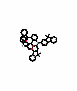 CC1(C)c2ccccc2-c2ccc(N(c3ccc4c(c3)C(C)(C)c3ccccc3-4)c3cccc(-c4cccc5ccccc45)c3-c3cccc4oc5ccccc5c34)cc21